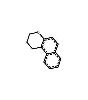 [c]1ccc2c3c(ccc2c1)OCCC3